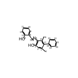 Cc1cc(O)c(N=Nc2ccccc2O)c(C)c1-c1ccccc1